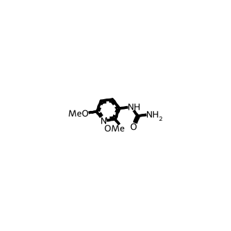 COc1ccc(NC(N)=O)c(OC)n1